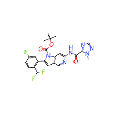 Cn1ncnc1C(=O)Nc1cc2c(cn1)cc(-c1cc(F)ccc1C(F)F)n2C(=O)OC(C)(C)C